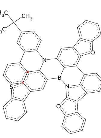 CC(C)(C)c1ccc(N2c3cc4sc5ccccc5c4cc3B3c4c2cc2c(oc5ccccc52)c4-c2cccc4c5c6ccccc6oc5n3c24)c(-c2ccccc2)c1